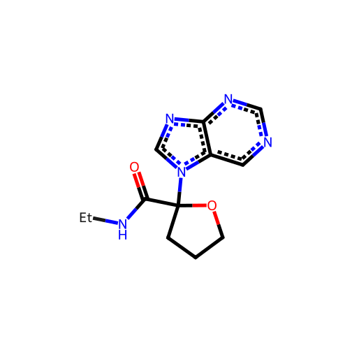 CCNC(=O)C1(n2cnc3ncncc32)CCCO1